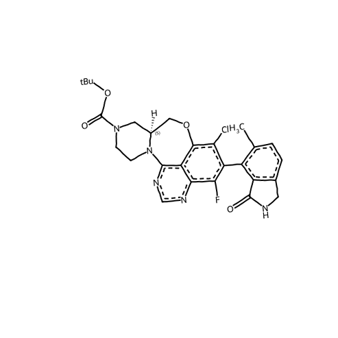 Cc1ccc2c(c1-c1c(Cl)c3c4c(ncnc4c1F)N1CCN(C(=O)OC(C)(C)C)C[C@H]1CO3)C(=O)NC2